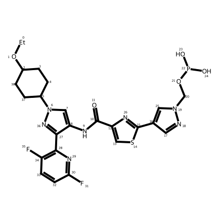 CCOC1CCC(n2cc(NC(=O)c3csc(-c4cnn(COP(O)O)c4)n3)c(-c3nc(F)ccc3F)n2)CC1